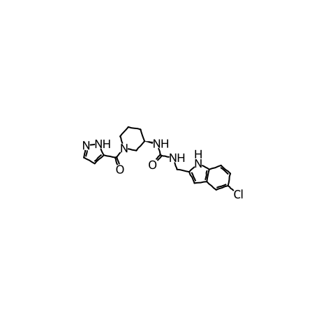 O=C(NCc1cc2cc(Cl)ccc2[nH]1)N[C@@H]1CCCN(C(=O)c2ccn[nH]2)C1